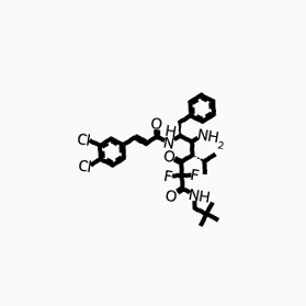 CC(C)[C@H](C(=O)C(F)(F)C(=O)NCC(C)(C)C)C(N)[C@H](Cc1ccccc1)NC(=O)/C=C/c1ccc(Cl)c(Cl)c1